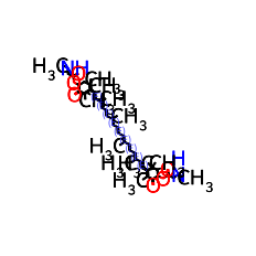 CNCC(=O)OC1CC(C)(C)C(/C=C/C(C)=C/C=C/C(C)=C/C=C/C=C(C)/C=C/C=C(C)/C=C/C2=C(C)C(=O)C(OC(=O)CNC)CC2(C)C)=C(C)C1=O